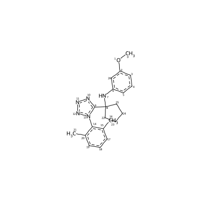 COc1cccc(NC2(c3nnnn3-c3c(C)cccc3C)CCCC2)c1